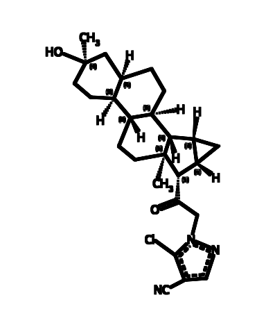 C[C@@]1(O)CC[C@H]2[C@H](CC[C@@H]3[C@@H]2CC[C@@]2(C)[C@H]3[C@@H]3C[C@@H]3[C@@H]2C(=O)Cn2ncc(C#N)c2Cl)C1